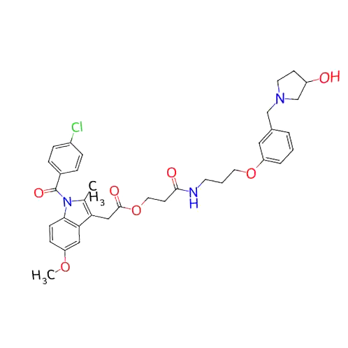 COc1ccc2c(c1)c(CC(=O)OCCC(=O)NCCCOc1cccc(CN3CCC(O)C3)c1)c(C)n2C(=O)c1ccc(Cl)cc1